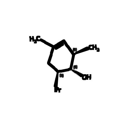 CC1=C[C@@H](C)[C@H](O)[C@@H](C(C)C)C1